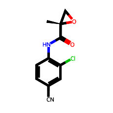 C[C@@]1(C(=O)Nc2ccc(C#N)cc2Cl)CO1